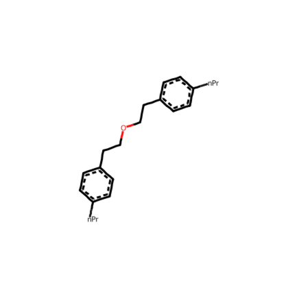 CCCc1ccc(CCOCCc2ccc(CCC)cc2)cc1